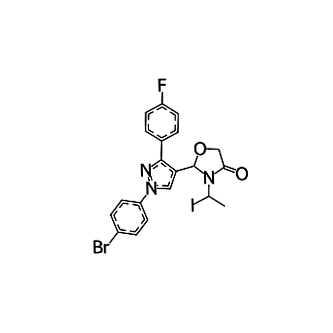 CC(I)N1C(=O)COC1c1cn(-c2ccc(Br)cc2)nc1-c1ccc(F)cc1